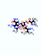 Cc1nc(N)c2c(C(N)=O)cn([C@@H]3O[C@H](COC(=O)[C@@H](N)C(C)C)[C@@H](OC(=O)C(N)C(C)C)[C@@]3(C)O)c2n1